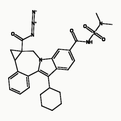 CN(C)S(=O)(=O)NC(=O)c1ccc2c(C3CCCCC3)c3n(c2c1)CC1(C(=O)N=[N+]=[N-])CC1c1ccccc1-3